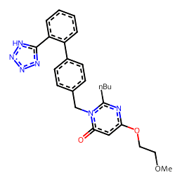 CCCCc1nc(OCCOC)cc(=O)n1Cc1ccc(-c2ccccc2-c2nnn[nH]2)cc1